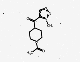 CC(=O)N1CCC(C(=O)c2cnnn2C)CC1